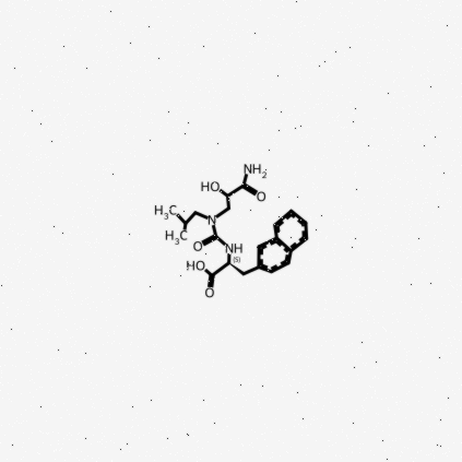 CC(C)CN(CC(O)C(N)=O)C(=O)N[C@@H](Cc1ccc2ccccc2c1)C(=O)O